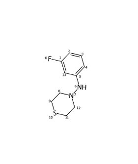 Fc1cccc(NN2CCSCC2)c1